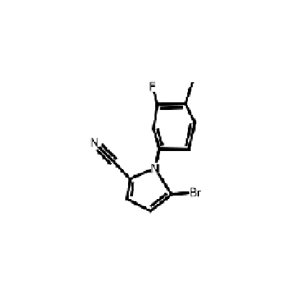 Cc1ccc(-n2c(Br)ccc2C#N)cc1F